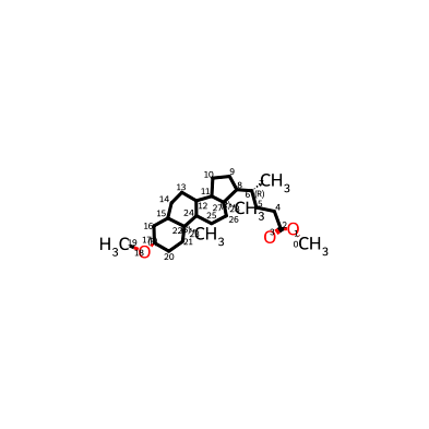 COC(=O)CC[C@@H](C)C1CCC2C3CCC4C[C@H](OC)CC[C@]4(C)C3CC[C@@]21C